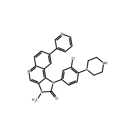 Cn1c(=O)n(-c2ccc(N3CCNCC3)c(Cl)c2)c2c3cc(-c4cccnc4)ccc3ncc21